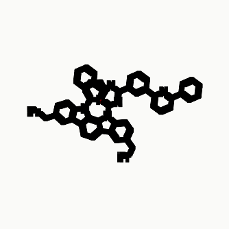 CC(C)Cc1ccc2c(c1)c1ccc3c4cc(CC(C)C)ccc4n(-c4nc(-c5ccccc5)nc(-c5cccc(-c6cccc(-c7ccccc7)n6)c5)n4)c3c1n2-c1ccccc1